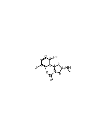 CNC1CC(c2cc(F)ccc2F)N(C(C)C)C1